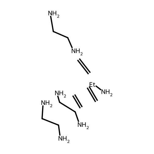 C=C.C=C.C=C.NCCN.NCCN.NCCN.[CH2]CN